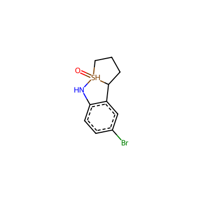 O=[SH]12CCCC1c1cc(Br)ccc1N2